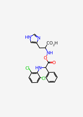 O=C(O)C(Cc1c[nH]cn1)NOC(=O)C(Nc1c(Cl)cccc1Cl)c1ccccc1